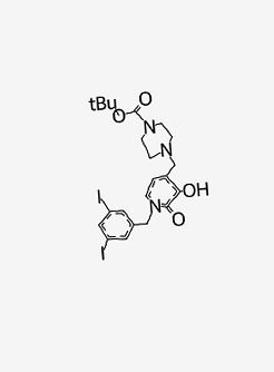 CC(C)(C)OC(=O)N1CCN(Cc2ccn(Cc3cc(I)cc(I)c3)c(=O)c2O)CC1